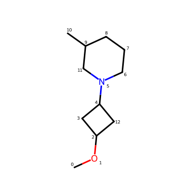 COC1CC(N2CCCC(C)C2)C1